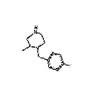 CC1CNCCN1Cc1ccc(F)cc1